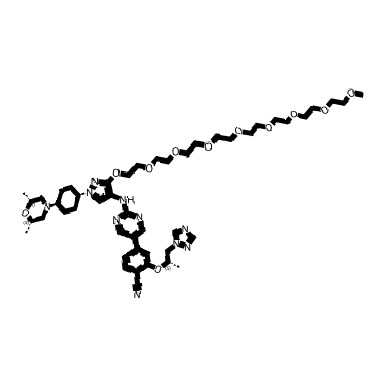 COCCOCCOCCOCCOCCOCCOCCOCCOc1nn([C@H]2CC[C@H](N3C[C@@H](C)O[C@@H](C)C3)CC2)cc1Nc1ncc(-c2ccc(C#N)c(O[C@@H](C)Cn3cncn3)c2)cn1